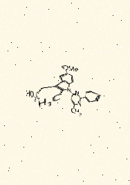 COc1ccc2c(c1)c(CC(=O)O)c(C)n2-c1cc(C)nc(-c2ccccc2)n1